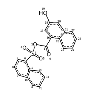 O=C(OS(=O)(=O)c1cccc2ccccc12)c1cc(O)cc2ccccc12